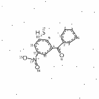 O=C(c1ccccc1)c1cccc([N+](=O)[O-])c1.S